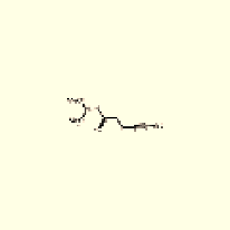 CCC#CCCC(=O)CP(OC)OC